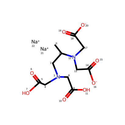 CC(CN(CC(=O)O)CC(=O)O)N(CC(=O)[O-])CC(=O)[O-].[Na+].[Na+]